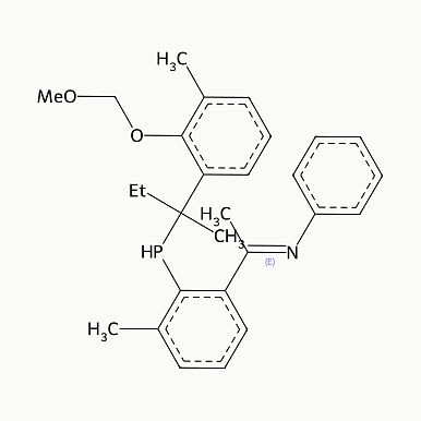 CCC(C)(Pc1c(C)cccc1/C(C)=N/c1ccccc1)c1cccc(C)c1OCOC